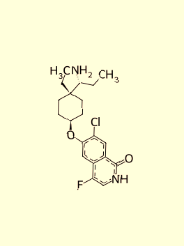 CC[C@@H](N)[C@]1(CC)CC[C@@H](Oc2cc3c(F)c[nH]c(=O)c3cc2Cl)CC1